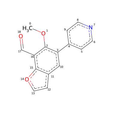 COc1c(-c2ccncc2)cc2ccoc2c1C=O